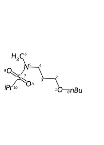 CCCCOCCCN(C)S(=O)(=O)C(C)C